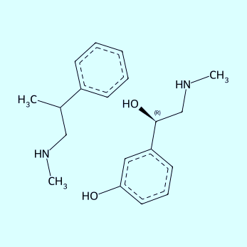 CNCC(C)c1ccccc1.CNC[C@H](O)c1cccc(O)c1